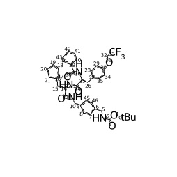 CC(C)(C)OC(=O)NCc1ccc(CNC(=O)C(Cc2ccccc2)NC(=O)C(Cc2ccc(OCC(F)(F)F)cc2)NC(=O)c2ccccc2)cc1